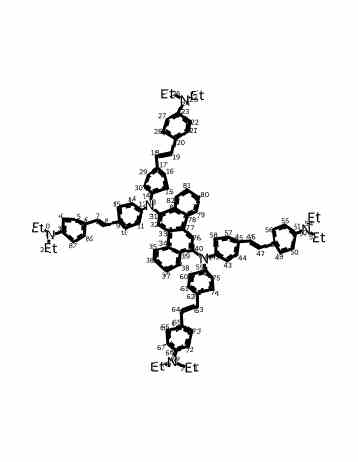 CCN(CC)c1ccc(C=Cc2ccc(N(c3ccc(C=Cc4ccc(N(CC)CC)cc4)cc3)c3cc4c5ccccc5c(N(c5ccc(C=Cc6ccc(N(CC)CC)cc6)cc5)c5ccc(C=Cc6ccc(N(CC)CC)cc6)cc5)cc4c4ccccc34)cc2)cc1